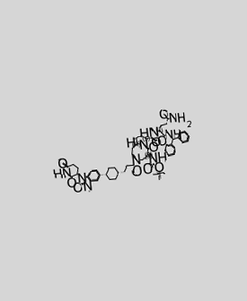 Cn1c(=O)n(C2CCC(=O)NC2=O)c2ccc([C@H]3CC[C@@H](CCC(=O)N4CC[C@H]5CC[C@@H](C(=O)N[C@@H](CCC(N)=O)C(=O)NC(c6ccccc6)c6ccccc6)N5C(=O)[C@@H](NC(=O)OC(C)(C)C)C4)CC3)cc21